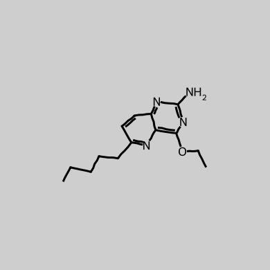 CCCCCc1ccc2nc(N)nc(OCC)c2n1